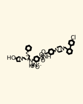 O=C(NS(=O)(=O)c1ccc(N[C@H](CCN2CC[C@@H](O)C2)CSc2ccccc2)c([N+](=O)[O-])c1)c1ccc(N2CCN(Cc3ccccc3-c3ccc(Cl)cc3)CC2)cc1